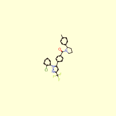 Cc1ccc(C2CCCN2C(=O)c2ccc(-c3cc(C(F)(F)F)nn3-c3ccccc3Cl)cc2)cc1